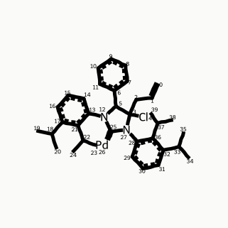 C=CCC1(Cl)C(c2ccccc2)N(c2cccc(C(C)C)c2C(C)C)[C](=[Pd])N1c1cccc(C(C)C)c1C(C)C